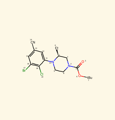 CC[C@H]1CN(C(=O)OC(C)(C)C)CCN1c1cc(C#N)cc(Br)c1Cl